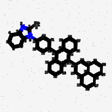 CCc1nc2ccccc2n1-c1ccc(-c2c3ccccc3c(C3=CC4=CC=CC5=CC=CC(=C3)C54)c3ccccc23)cc1